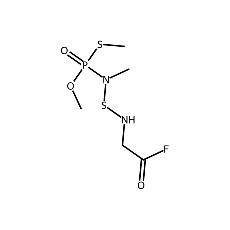 COP(=O)(SC)N(C)SNCC(=O)F